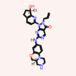 C=CCn1c(=O)c2cnc(Nc3ccc4c(c3)OC[C@@H]3CNCCN43)nc2n1-c1ccc2c(n1)[C@@](O)(CC)CC2